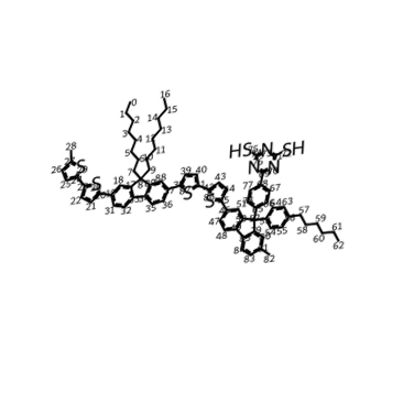 CCCCCCCCC1(CCCCCCCC)c2cc(-c3ccc(-c4ccc(C)s4)s3)ccc2-c2ccc(-c3ccc(-c4ccc(-c5ccc6c(c5)C(c5ccc(CCCCCC)cc5)(c5ccc(-c7nc(S)nc(S)n7)cc5)c5cc(C)ccc5-6)s4)s3)cc21